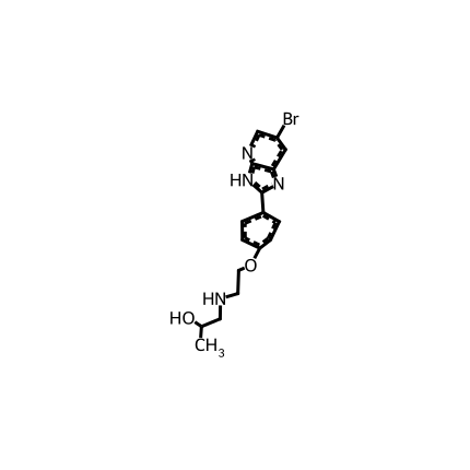 CC(O)CNCCOc1ccc(-c2nc3cc(Br)cnc3[nH]2)cc1